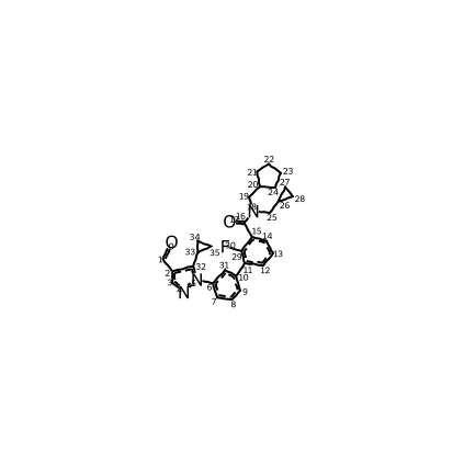 O=Cc1cnn(-c2cccc(-c3cccc(C(=O)N(CC4CCCC4)CC4CC4)c3F)c2)c1C1CC1